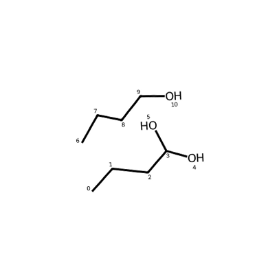 CCCC(O)O.CCCCO